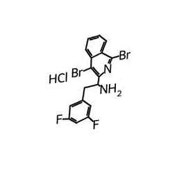 Cl.NC(Cc1cc(F)cc(F)c1)c1nc(Br)c2ccccc2c1Br